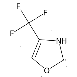 FC(F)(F)C1=CO[C]N1